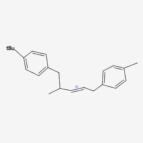 Cc1ccc(C/C=C/C(C)Cc2ccc(C(C)(C)C)cc2)cc1